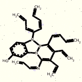 C=C/C=C\C1=C(C=C)C(C=C)=C(/N=C\C=C)N2B1N(C(/C=C\C=C)=C/C=C)c1ccc(O)cc12